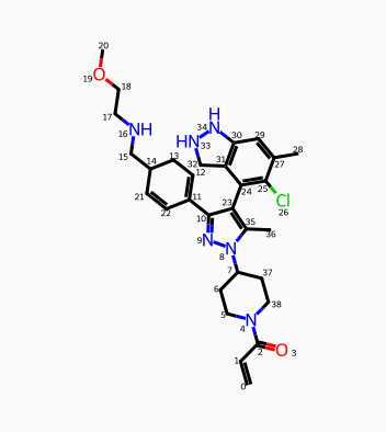 C=CC(=O)N1CCC(n2nc(C3=CCC(CNCCOC)C=C3)c(-c3c(Cl)c(C)cc4c3CNN4)c2C)CC1